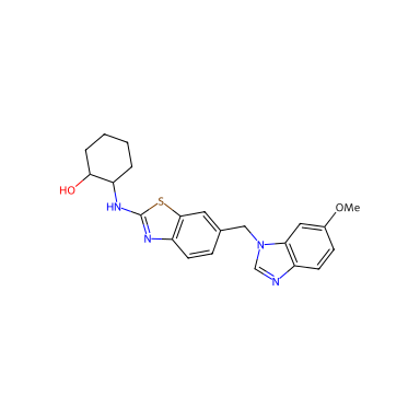 COc1ccc2ncn(Cc3ccc4nc(NC5CCCCC5O)sc4c3)c2c1